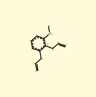 C=CCc1cccc(OC)c1CC=C